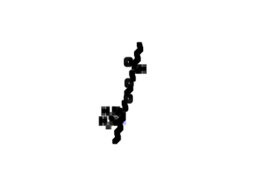 CCCCC(=O)NCCOCCOCCN(N)/C=C(\N)CCCC